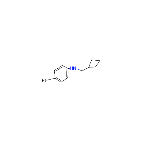 CCc1ccc(NCC2CCC2)cc1